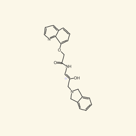 O=C(COc1cccc2cccnc12)N/C=C(\O)CN1Cc2ccccc2C1